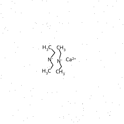 CC[N-]CC.CC[N-]CC.[Ca+2]